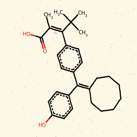 C/C(C(=O)O)=C(/c1ccc(C(=C2CCCCCCC2)c2ccc(O)cc2)cc1)C(C)(C)C